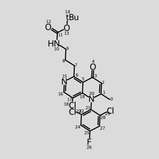 Cc1cc(=O)c2c(CCCNC(=O)OC(C)(C)C)ncc(Cl)c2n1-c1c(Cl)cc(F)cc1Cl